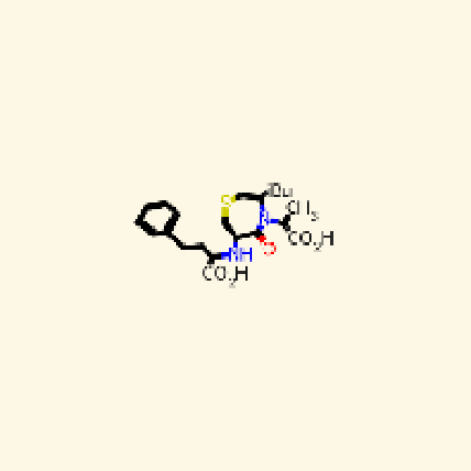 CCC(C)C1CSCC(NC(CCc2ccccc2)C(=O)O)C(=O)N1C(C)C(=O)O